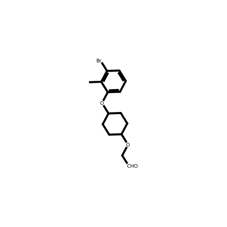 Cc1c(Br)cccc1OC1CCC(OCC=O)CC1